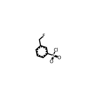 O=S(=O)(Cl)c1cccc(CF)c1